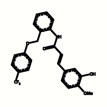 COc1ccc(/C=C/C(=O)Nc2ccccc2COc2ccc(C(F)(F)F)cc2)cc1O